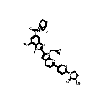 COc1cc(C(=O)N2CC3CCC2[C@@H]3N)cc2nc(-c3cc4ccc(-c5ccc(N6CCC(O)C6=O)nc5)nc4n3CC3CC3)n(C)c12